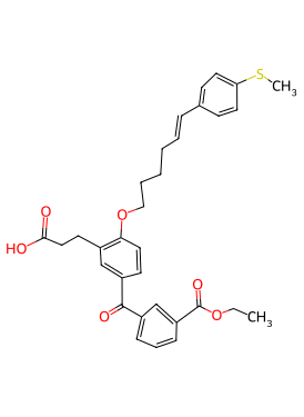 CCOC(=O)c1cccc(C(=O)c2ccc(OCCCCC=Cc3ccc(SC)cc3)c(CCC(=O)O)c2)c1